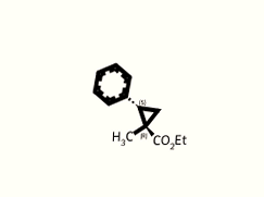 CCOC(=O)[C@]1(C)C[C@H]1c1ccccc1